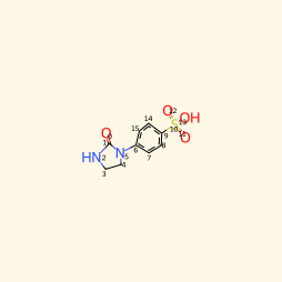 O=C1NCCN1c1ccc(S(=O)(=O)O)cc1